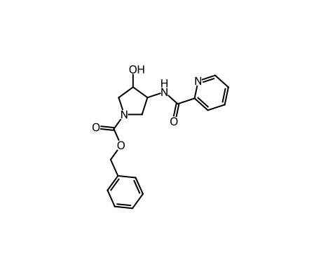 O=C(NC1CN(C(=O)OCc2ccccc2)CC1O)c1ccccn1